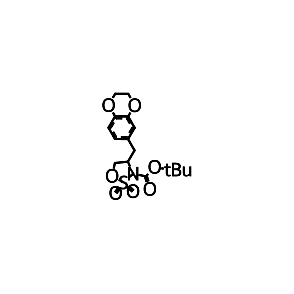 CC(C)(C)OC(=O)N1C(Cc2ccc3c(c2)OCCO3)COS1(=O)=O